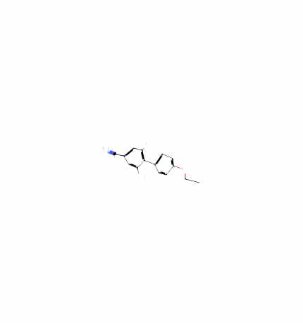 CCOc1ccc(-c2c(Cl)cc(C#N)cc2Cl)cc1